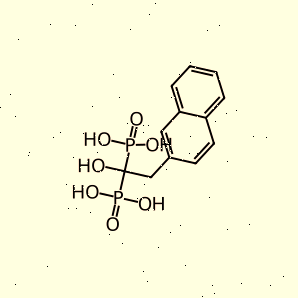 O=P(O)(O)C(O)(Cc1ccc2ccccc2c1)P(=O)(O)O